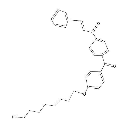 O=C(C=Cc1ccccc1)c1ccc(C(=O)c2ccc(OCCCCCCCCO)cc2)cc1